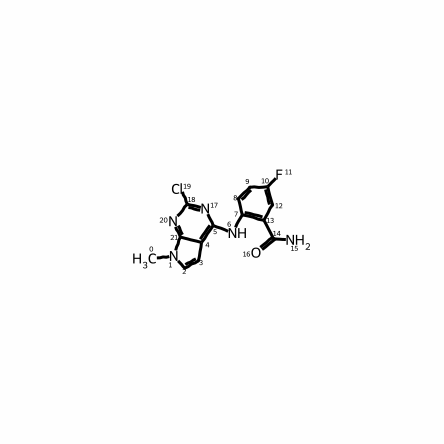 Cn1ccc2c(Nc3ccc(F)cc3C(N)=O)nc(Cl)nc21